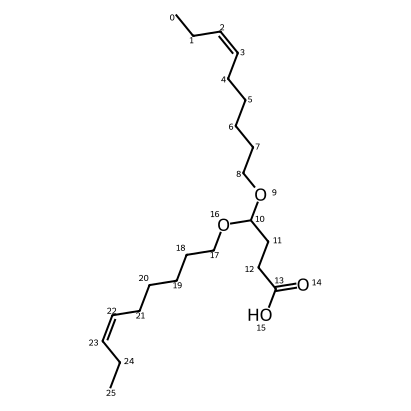 CC/C=C\CCCCCOC(CCC(=O)O)OCCCCC/C=C\CC